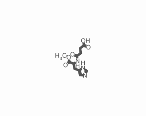 COC(=O)C(Cc1cnc[nH]1)NC(=O)CCC(=O)O